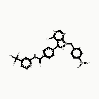 Nc1ncnc2c1c(-c1ccc(C(=O)Nc3cc(C(F)(F)F)ccn3)cc1)nn2Cc1ccc([N+](=O)[O-])cc1